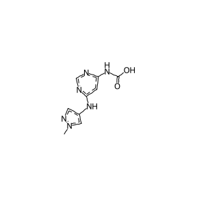 Cn1cc(Nc2cc(NC(=O)O)ncn2)cn1